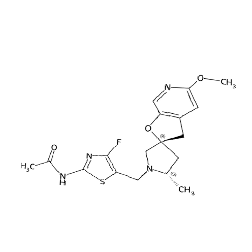 COc1cc2c(cn1)O[C@]1(C2)C[C@H](C)N(Cc2sc(NC(C)=O)nc2F)C1